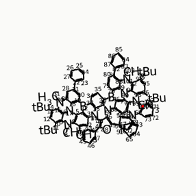 Cc1cc2c3c4c1N(C)c1c(C(C)(C)C)cc(C(C)(C)C)c5c1N4c1c(cc(-c4ccccc4)cc1N5C)B3c1ccc3c4c1N2c1c(-c2ccccc2)oc(-c2ccccc2)c1N4c1cc(N(c2ccccc2)c2ccccc2)c2c4c1B3c1ccc(-c3ccccc3)c3c1N4c1c(c(C(C)(C)C)cc(C(C)(C)C)c1N2C)N3C